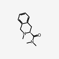 CN(C)C(=O)[C@@H]1Cc2ccccc2CN1C